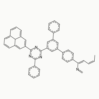 C=N/C(=C\C=C/C)c1ccc(-c2cc(-c3ccccc3)cc(-c3nc(C4=CC5=CC=CC6=CC=CC(=C4)C65)nc(-c4ccccc4)n3)c2)cc1